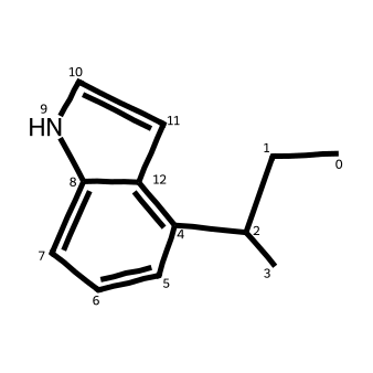 CCC(C)c1cccc2[nH]ccc12